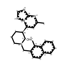 Cc1cc([C@@H]2CCCN(Cc3ccc4ccccc4c3C=O)C2)n2ncnc2n1